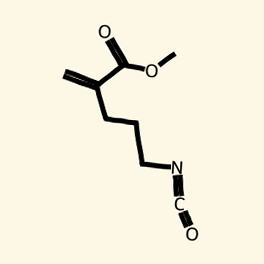 C=C(CCCN=C=O)C(=O)OC